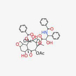 CC(=O)O[C@H]1C(=O)[C@@]2(C)C([C@H](OC(=O)c3ccccc3)[C@]3(O)CCC(C)=C1C3(C)OC(=O)[C@H](O)[C@@H](NC(=O)c1ccccc1)c1ccccc1)[C@]1(OC(C)=O)COC1C[C@@H]2O